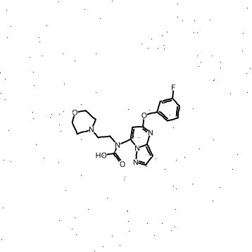 O=C(O)N(CCN1CCOCC1)c1cc(Oc2cccc(F)c2)nc2ccnn12